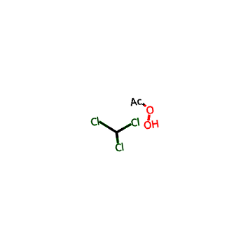 CC(=O)OO.ClC(Cl)Cl